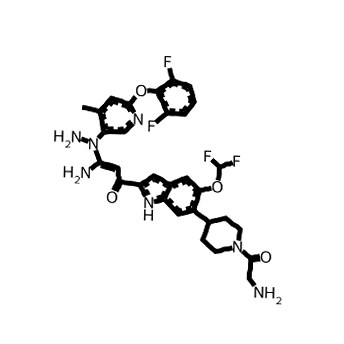 Cc1cc(Oc2c(F)cccc2F)ncc1N(N)/C(N)=C/C(=O)c1cc2cc(OC(F)F)c(C3CCN(C(=O)CN)CC3)cc2[nH]1